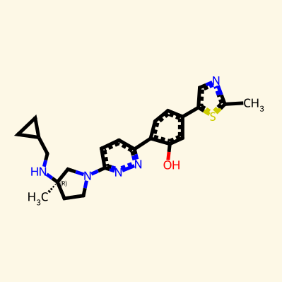 Cc1ncc(-c2ccc(-c3ccc(N4CC[C@@](C)(NCC5CC5)C4)nn3)c(O)c2)s1